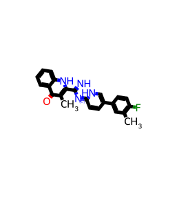 Cc1cc(-c2cc/c(=N/C(=N)c3[nH]c4ccccc4c(=O)c3C)[nH]c2)ccc1F